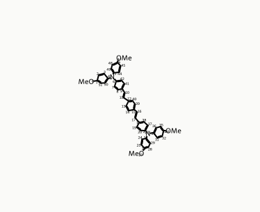 COc1ccc(N(c2ccc(C=Cc3ccc(C=Cc4ccc(N(c5ccc(OC)cc5)c5ccc(OC)cc5)cc4)cc3)cc2)c2ccc(OC)cc2)cc1